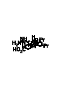 CC(C)c1cc(C(C)C)c(S(=O)(=O)N[C@@H](CCCNC(=N)N)C(=O)N2CCC(C(=O)O)CC2)c(C(C)C)c1